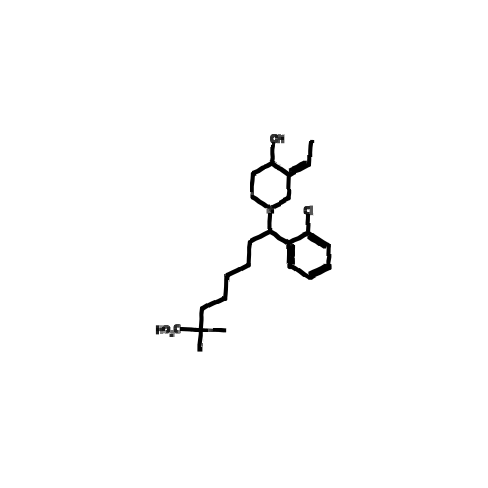 C/C=C1/CN(C(CCCCCC(C)(C)C(=O)O)c2ccccc2Cl)CCC1O